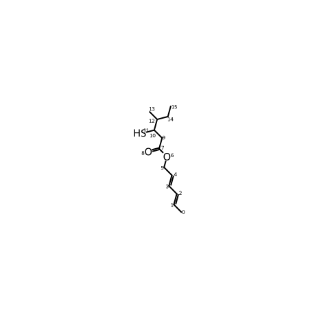 CC=CC=CCOC(=O)CC(S)C(C)CC